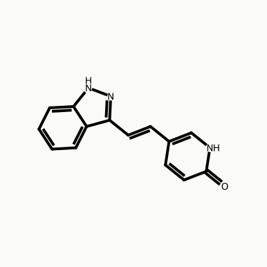 O=c1ccc(/C=C/c2n[nH]c3ccccc23)c[nH]1